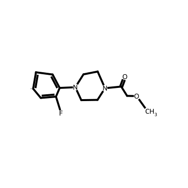 COCC(=O)N1CCN(c2cc[c]cc2F)CC1